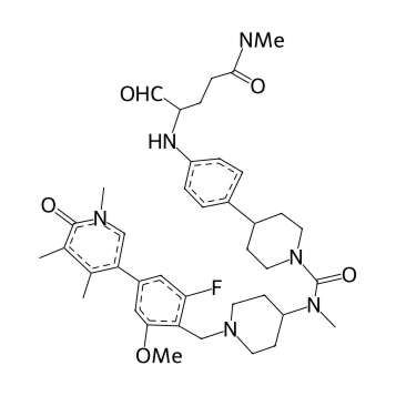 CNC(=O)CCC(C=O)Nc1ccc(C2CCN(C(=O)N(C)C3CCN(Cc4c(F)cc(-c5cn(C)c(=O)c(C)c5C)cc4OC)CC3)CC2)cc1